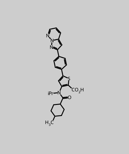 CC1CCC(C(=O)N(c2cc(-c3ccc(-c4cc5cccnn5n4)cc3)sc2C(=O)O)C(C)C)CC1